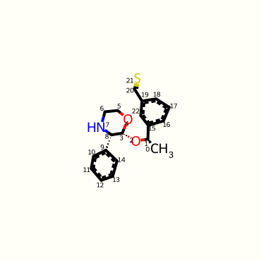 C[C@@H](O[C@H]1OCCN[C@H]1c1ccccc1)c1cccc(C=S)c1